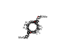 COCC1CCN(Cc2ccc(C[C@H]3OC(=O)[C@H](CC(C)C)N(C)C(=O)[C@@H](C)OC(=O)[C@H](CC(C)C)N(C)C(=O)[C@@H](Cc4ccc(CN5CCC(COC)CC5)cc4)OC(=O)[C@H](CC(C)C)N(C)C(=O)[C@@H](C)OC(=O)[C@H](CC(C)C)N(C)C3=O)cc2)CC1